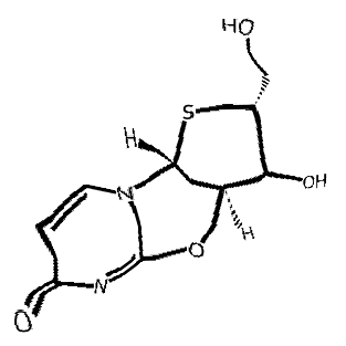 O=c1ccn2c(n1)O[C@@H]1C(O)[C@@H](CO)S[C@H]12